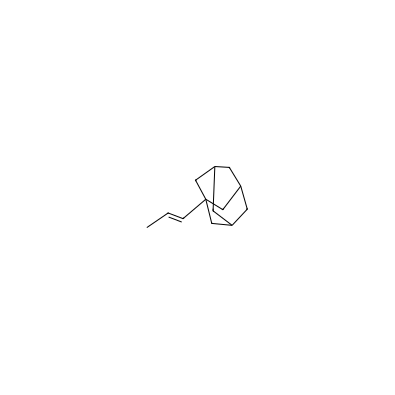 CC=CC12CC3CC(CC(C3)C1)C2